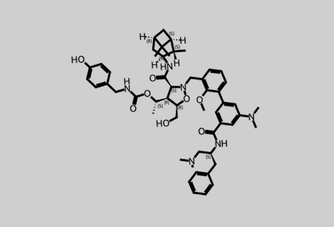 COc1c(CN2O[C@@H](CO)[C@@H]([C@H](C)OC(=O)NCc3ccc(O)cc3)[C@H]2C(=O)N[C@H]2C[C@H]3C[C@@H]([C@@H]2C)C3(C)C)cccc1-c1cc(C(=O)N[C@@H](Cc2ccccc2)CN(C)C)cc(N(C)C)c1